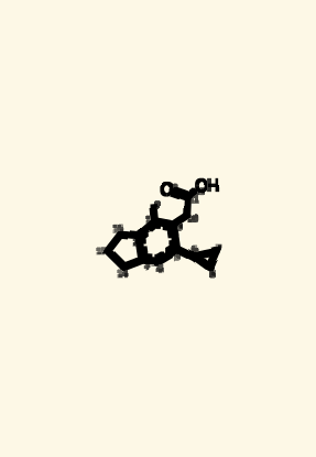 Cc1c2c(cc(C3CC3)c1CC(=O)O)CCC2